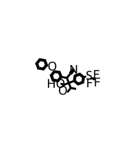 CC(C)C(C(=O)O)(c1ccc(SC(F)(F)F)cc1)C(C#N)c1cccc(Oc2ccccc2)c1